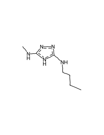 CCCCNc1nnc(NC)[nH]1